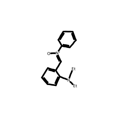 CCN(CC)c1ccccc1C=[N+]([O-])c1ccccc1